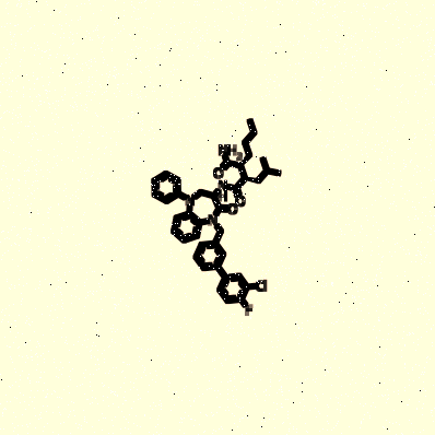 CCCC[C@H](C(N)=O)[C@@H](CC(C)C)C(=O)NC1CN(c2ccccc2)c2ccccc2N(Cc2cccc(-c3ccc(F)c(Cl)c3)c2)C1=O